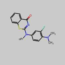 CCCN(c1ccc(N(C)C)c(F)c1)c1nc(=O)c2ccccc2s1